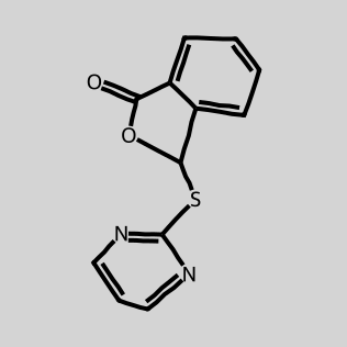 O=C1OC(Sc2ncccn2)c2ccccc21